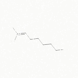 [CH2]/C(=C/CCCCCCCCCCCCC)CCCCCC